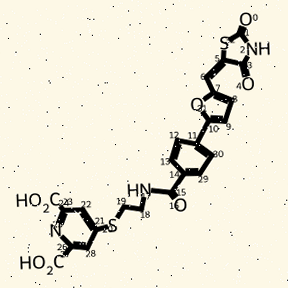 O=C1NC(=O)/C(=C\c2ccc(-c3ccc(C(=O)NCCSc4cc(C(=O)O)nc(C(=O)O)c4)cc3)o2)S1